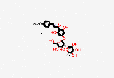 COc1ccc(/C=C/C(=O)c2c(O)cc(O[C@@H]3O[C@H](CO)[C@@H](O)[C@H](O)[C@H]3O[C@@H]3O[C@@H](C)[C@H](O)[C@@H](O)[C@H]3O)cc2O)cc1